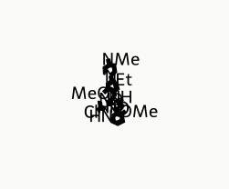 CCc1cc(Nc2ncc(Cl)c(Nc3cccc(OC)c3NS(C)(=O)=O)n2)c(OC)cc1N1CCC(NC)CC1